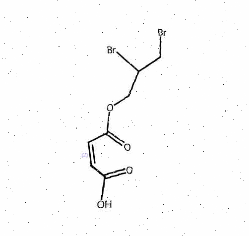 O=C(O)/C=C\C(=O)OCC(Br)CBr